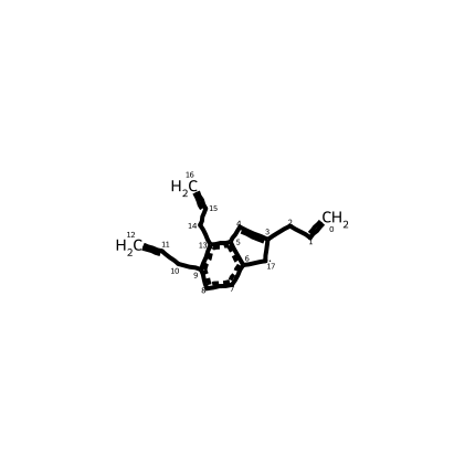 C=CCC1=Cc2c(ccc(CC=C)c2CC=C)[CH]1